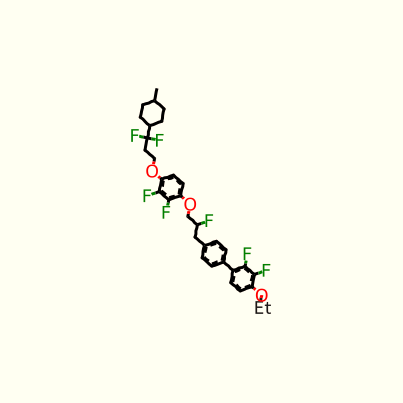 CCOc1ccc(-c2ccc(CC(F)COc3ccc(OCCC(F)(F)C4CCC(C)CC4)c(F)c3F)cc2)c(F)c1F